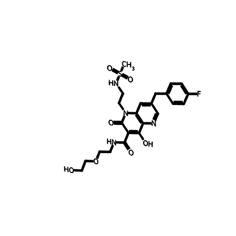 CS(=O)(=O)NCCn1c(=O)c(C(=O)NCCOCCO)c(O)c2ncc(Cc3ccc(F)cc3)cc21